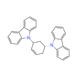 C1=CC(n2c3ccccc3c3ccccc32)C[C@H](n2c3ccccc3c3ccccc32)C1